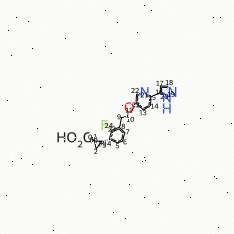 O=C(O)[C@@H]1C[C@H]1c1cccc(CCOc2ccc(-c3ccn[nH]3)nc2)c1F